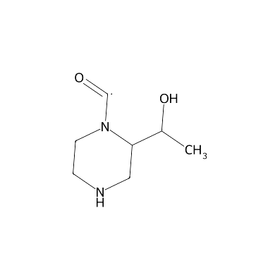 CC(O)C1CNCCN1[C]=O